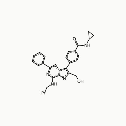 CC(C)CNc1nc(-c2ccccc2)cn2c(-c3ccc(C(=O)NC4CC4)cc3)c(CO)nc12